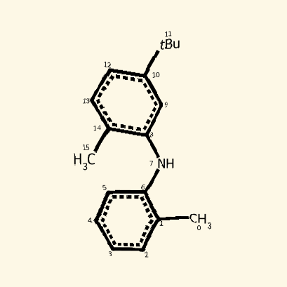 Cc1ccccc1Nc1cc(C(C)(C)C)ccc1C